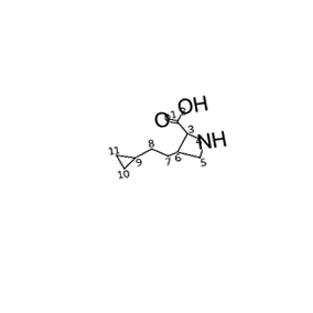 O=C(O)C1NCC1CCC1CC1